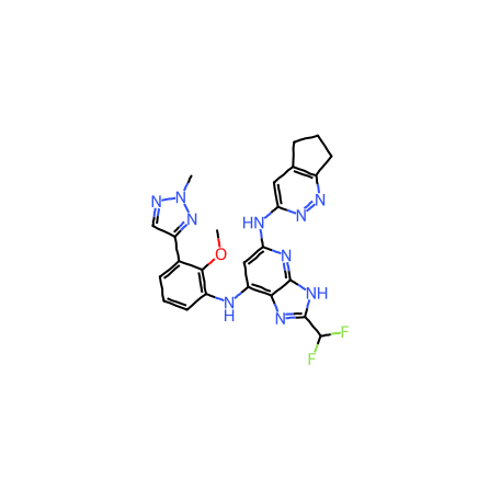 COc1c(Nc2cc(Nc3cc4c(nn3)CCC4)nc3[nH]c(C(F)F)nc23)cccc1-c1cnn(C)n1